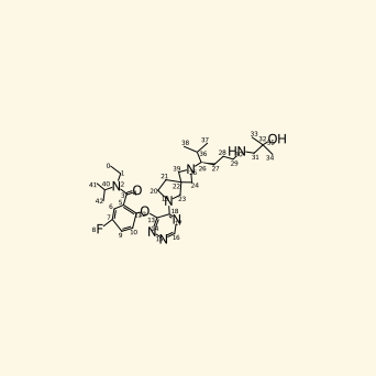 CCN(C(=O)c1cc(F)ccc1Oc1nncnc1N1CCC2(C1)CN([C@H](CCCNCC(C)(C)O)C(C)C)C2)C(C)C